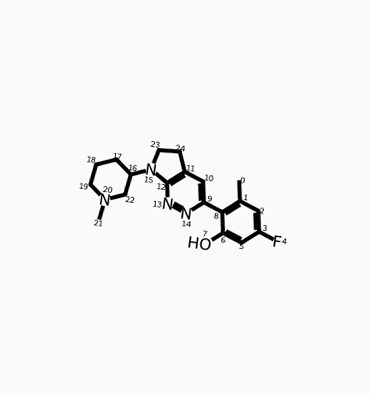 Cc1cc(F)cc(O)c1-c1cc2c(nn1)N(C1CCCN(C)C1)CC2